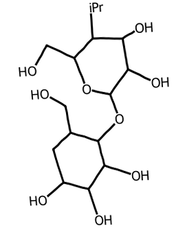 CC(C)C1C(CO)OC(OC2C(CO)CC(O)C(O)C2O)C(O)C1O